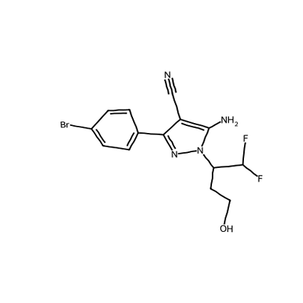 N#Cc1c(-c2ccc(Br)cc2)nn(C(CCO)C(F)F)c1N